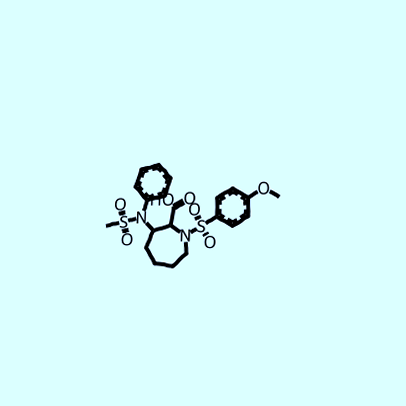 COc1ccc(S(=O)(=O)N2CCCCC(N(c3ccccc3)S(C)(=O)=O)C2C(=O)O)cc1